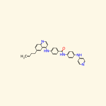 C=CCCc1ccc2nccc(Nc3ccc(C(=O)Nc4ccc(Nc5ccncc5)cc4)cc3)c2c1